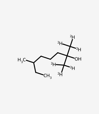 [2H]C([2H])([2H])C(O)(CCCC(C)CC)C([2H])([2H])[2H]